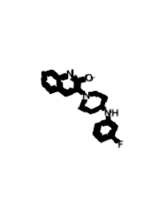 [O]c1nc2ccccc2cc1N1CCC(Nc2cccc(F)c2)CC1